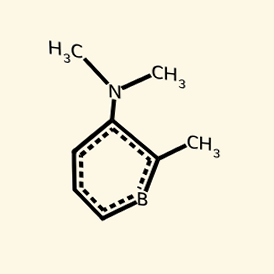 Cc1bcccc1N(C)C